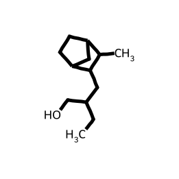 CCC(CO)CC1C2CCC(C2)C1C